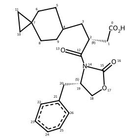 O=C(O)C[C@@H](CC1CCC2(CC1)CC2)C(=O)N1C(=O)OC[C@@H]1Cc1ccccc1